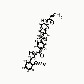 C=CC(=O)NC1CC2CN(S(=O)(=O)c3ccc(C(=O)NCCc4ccccc4OC)cc3)CC2S1